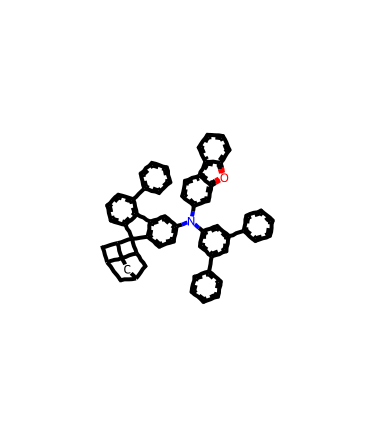 c1ccc(-c2cc(-c3ccccc3)cc(N(c3ccc4c(c3)-c3c(-c5ccccc5)cccc3C43C4CC5CC6CC3C64C5)c3ccc4c(c3)oc3ccccc34)c2)cc1